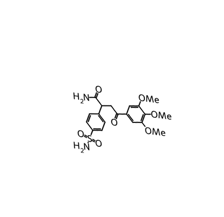 COc1cc(C(=O)CC(C(N)=O)c2ccc(S(N)(=O)=O)cc2)cc(OC)c1OC